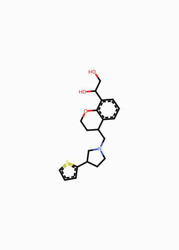 OCC(O)c1cccc2c1OCCC2CN1CCC(c2cccs2)C1